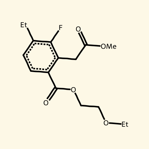 CCOCCOC(=O)c1ccc(CC)c(F)c1CC(=O)OC